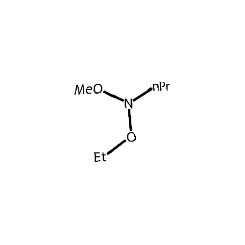 CCCN(OC)OCC